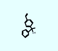 C=Cc1ccc(C(C)(O)c2ccccc2)cc1